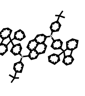 CC(C)(C)c1ccc(N(c2ccc(C3(c4ccccc4)c4ccccc4-c4ccccc43)cc2)c2ccc3ccc4c(N(c5ccc(C(C)(C)C)cc5)c5ccc(C6(c7ccccc7)c7ccccc7-c7ccccc76)cc5)ccc5ccc2c3c54)cc1